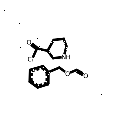 O=C(Cl)C1CCCNC1.O=COCc1ccccc1